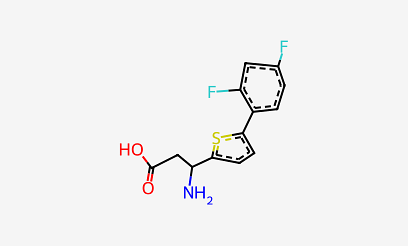 NC(CC(=O)O)c1ccc(-c2ccc(F)cc2F)s1